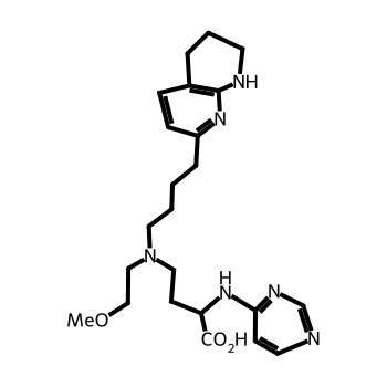 COCCN(CCCCc1ccc2c(n1)NCCC2)CCC(Nc1ccncn1)C(=O)O